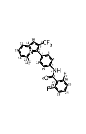 O=C(Nc1ccc(-c2c(C(F)(F)F)cc3cccc(F)n23)cc1)c1c(F)cccc1F